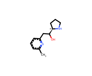 Cc1cccc(CC(O)[C@H]2CCCN2)n1